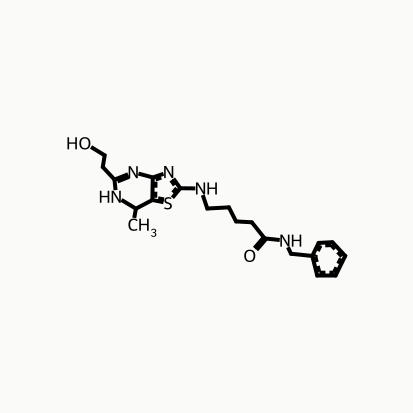 CC1NC(CCO)=Nc2nc(NCCCCC(=O)NCc3ccccc3)sc21